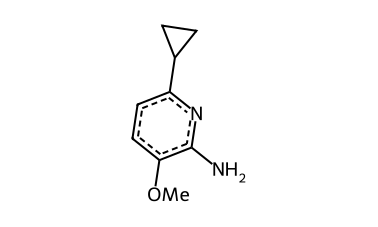 COc1ccc(C2CC2)nc1N